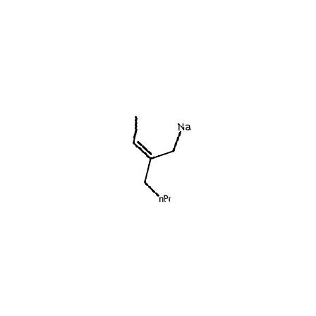 CC=C([CH2][Na])CCCC